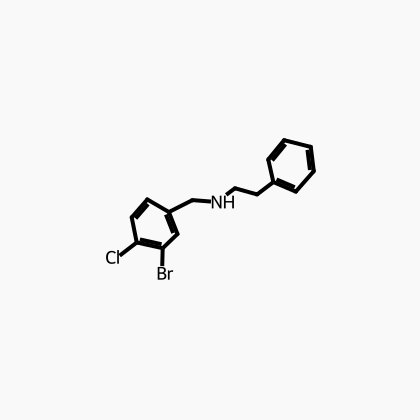 Clc1ccc(CNCCc2ccccc2)cc1Br